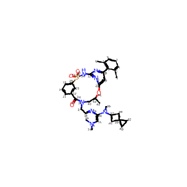 Cc1cccc(C)c1-c1cc2nc(n1)NS(=O)(=O)c1cccc(c1)C(=O)N(C/C=N/C(=C\N(C)C)N(C)C1CC3(CC3)C1)CC(C)O2